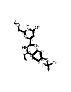 CC[C@@H](NC(=O)c1cc(=O)[nH]c(COC)n1)c1ccc(SC(F)(F)F)cc1